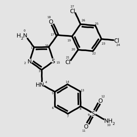 Nc1nc(Nc2ccc(S(N)(=O)=O)cc2)sc1C(=O)c1c(Cl)cc(Cl)cc1Cl